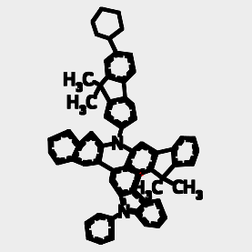 CC1(C)c2ccccc2-c2cc(N(c3ccc4c(c3)C(C)(C)c3cc(C5CCCCC5)ccc3-4)c3cc4ccccc4cc3-c3ccc4c5ccccc5n(-c5ccccc5)c4c3)ccc21